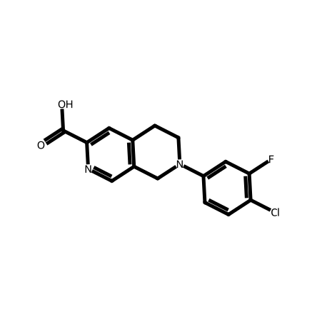 O=C(O)c1cc2c(cn1)CN(c1ccc(Cl)c(F)c1)CC2